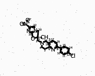 C[C@@]1(CN2CCc3nc(-c4ccc(Cl)cc4)ccc3C2)Cn2cc([N+](=O)[O-])nc2O1